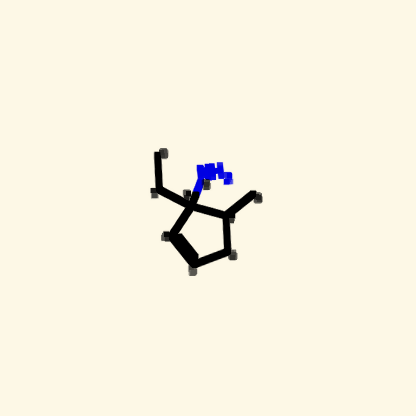 CCC1(N)C=CCC1C